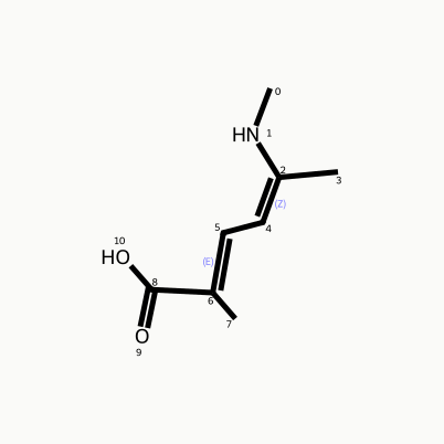 CN/C(C)=C\C=C(/C)C(=O)O